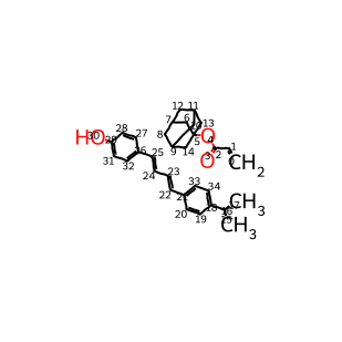 C=CC(=O)OC12CC3CC(CC(C3)C1)C2.CC(C)c1ccc(C=CC=Cc2ccc(O)cc2)cc1